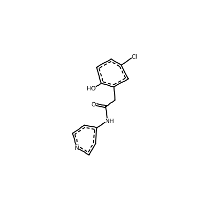 O=C(Cc1cc(Cl)ccc1O)Nc1ccncc1